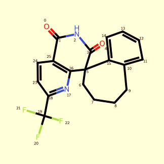 O=C1NC(=O)C2(CCCCc3ccccc32)c2nc(C(F)(F)F)ccc21